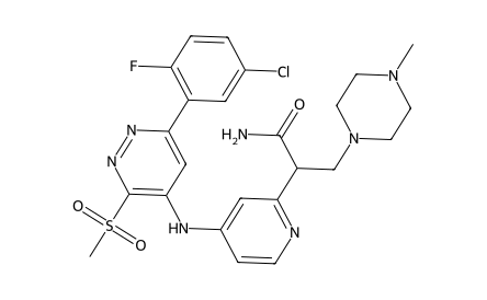 CN1CCN(CC(C(N)=O)c2cc(Nc3cc(-c4cc(Cl)ccc4F)nnc3S(C)(=O)=O)ccn2)CC1